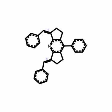 C(=C1\CCc2c1nc1c(c2-c2ccccc2)CC/C1=C\c1ccccc1)/c1ccccc1